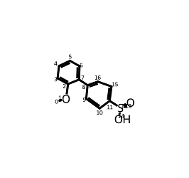 COc1ccccc1-c1ccc(S(=O)O)cc1